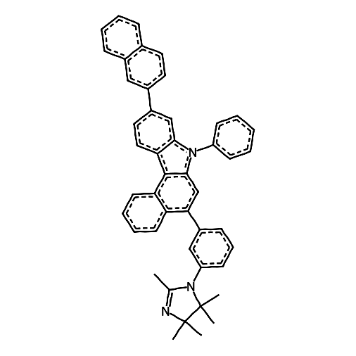 CC1=NC(C)(C)C(C)(C)N1c1cccc(-c2cc3c(c4ccccc24)c2ccc(-c4ccc5ccccc5c4)cc2n3-c2ccccc2)c1